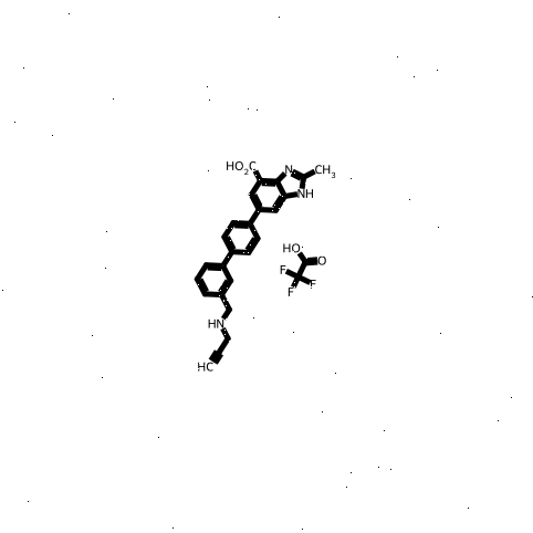 C#CCNCc1cccc(-c2ccc(-c3cc(C(=O)O)c4nc(C)[nH]c4c3)cc2)c1.O=C(O)C(F)(F)F